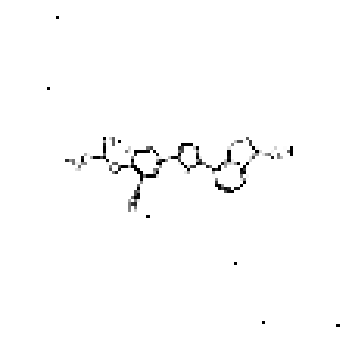 CC(C)Oc1ccc(-c2ccc(-c3cccc4c3CCC4O)s2)cc1C#N